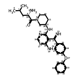 CC(C)C[C@H](N)C(=O)N1CCC[C@@H](Nc2ncnc(N)c2C(=N)c2ccc(Oc3ccccc3)cc2)C1